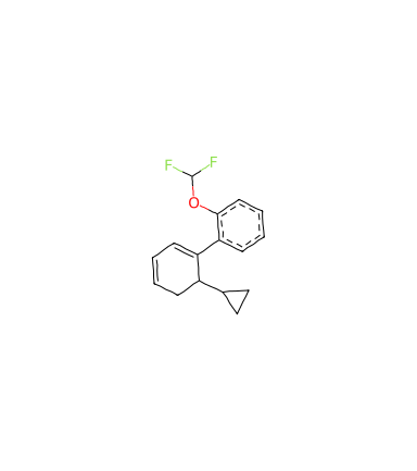 FC(F)Oc1ccccc1C1=CC=CCC1C1CC1